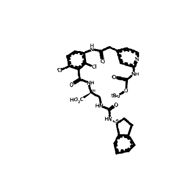 CC(C)(C)OC(=O)Nc1cc(CC(=O)Nc2ccc(Cl)c(C(=O)N[C@@H](CNC(=O)N[C@@H]3CCc4ccccc43)C(=O)O)c2Cl)ccn1